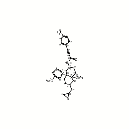 COc1cccc([C@@]23CCN(CC4CC4)C[C@@]2(OC)CC[C@H](NC(=O)C#Cc2ccc(C(F)(F)F)cc2)C3)c1